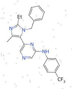 CCc1nc(C)c(-c2cncc(Nc3ccc(C(F)(F)F)cc3)n2)n1Cc1ccccc1